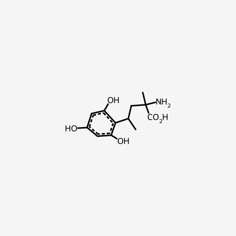 CC(CC(C)(N)C(=O)O)c1c(O)cc(O)cc1O